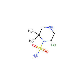 CC1(C)CNCCN1S(N)(=O)=O.Cl